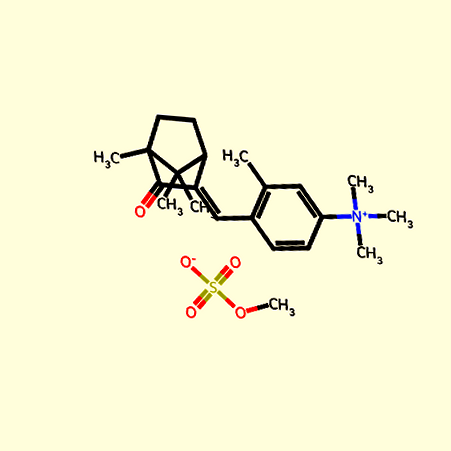 COS(=O)(=O)[O-].Cc1cc([N+](C)(C)C)ccc1C=C1C(=O)C2(C)CCC1C2(C)C